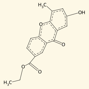 CCOC(=O)c1ccc2oc3c(C)cc(O)cc3c(=O)c2c1